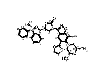 C[C@@H]1CN(c2c(C3OCCO3)cc3c(N4C[C@@H](CO[Si](c5ccccc5)(c5ccccc5)C(C)(C)C)OC4=O)noc3c2F)C[C@@H](C)O1